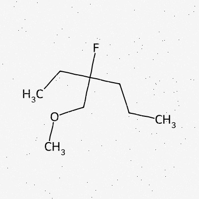 CCCC(F)(CC)COC